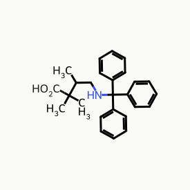 CC(CNC(c1ccccc1)(c1ccccc1)c1ccccc1)C(C)(C)C(=O)O